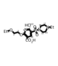 CCOCCOc1ncc(S(=O)(=O)N2CCN(CC)CC2)cc1C(=O)O.Cl